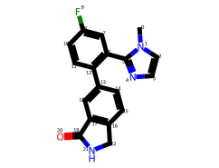 Cn1ccnc1-c1cc(F)ccc1-c1ccc2c(c1)C(=O)NC2